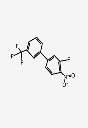 O=[N+]([O-])c1ccc(-c2cccc(C(F)(F)F)c2)cc1F